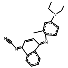 CCN(CC)c1ccc(N=C2C=CC(=NC#N)c3ccccc32)c(C)c1